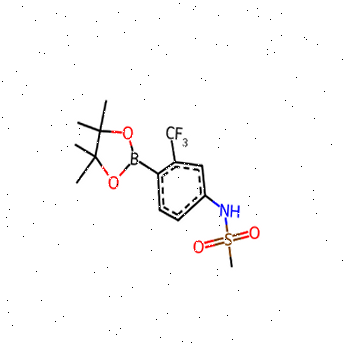 CC1(C)OB(c2ccc(NS(C)(=O)=O)cc2C(F)(F)F)OC1(C)C